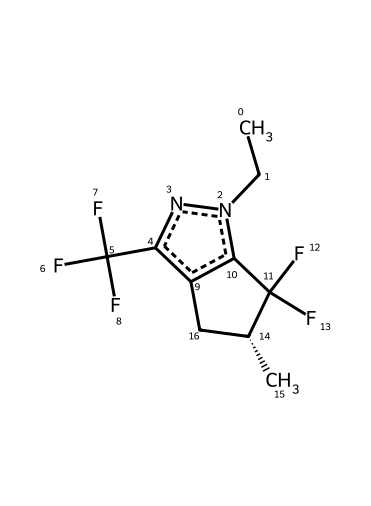 CCn1nc(C(F)(F)F)c2c1C(F)(F)[C@H](C)C2